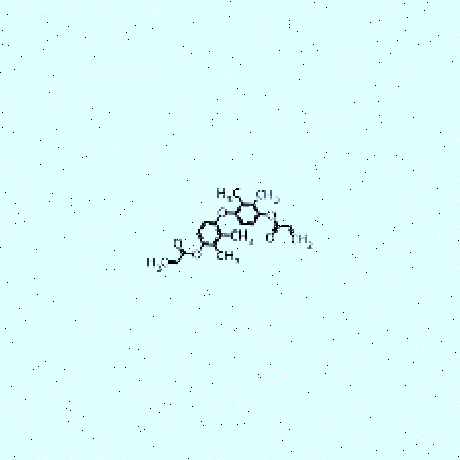 C=CC(=O)Oc1ccc(Oc2ccc(OC(=O)C=C)c(C)c2C)c(C)c1C